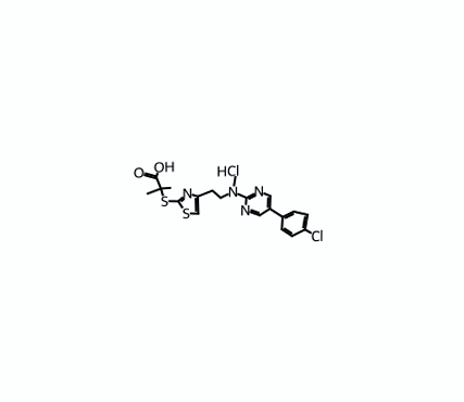 CN(CCc1csc(SC(C)(C)C(=O)O)n1)c1ncc(-c2ccc(Cl)cc2)cn1.Cl